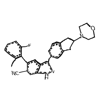 Cc1cccc(F)c1-c1cc2c(-c3ccc4c(c3)CC(N3CCOCC3)C4)n[nH]c2cc1C#N